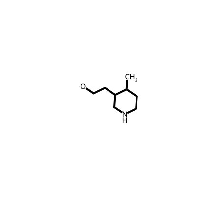 CC1CCNCC1CC[O]